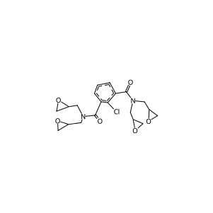 O=C(c1cccc(C(=O)N(CC2CO2)CC2CO2)c1Cl)N(CC1CO1)CC1CO1